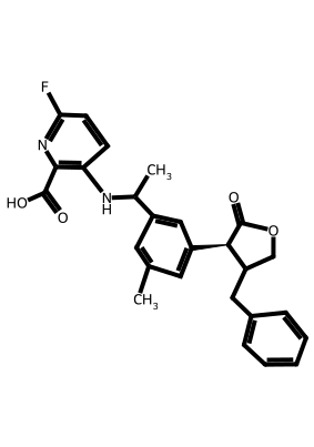 Cc1cc(C(C)Nc2ccc(F)nc2C(=O)O)cc([C@H]2C(=O)OCC2Cc2ccccc2)c1